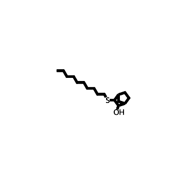 CCCCCCCCCCSC1C2CCC(C2)C1O